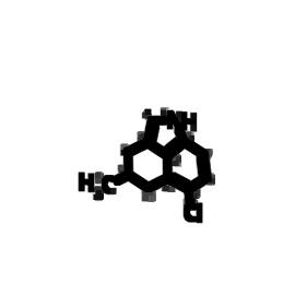 CC1Cc2c[nH]c3ccc(Cl)c(c23)C1